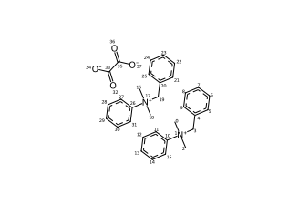 C[N+](C)(Cc1ccccc1)c1ccccc1.C[N+](C)(Cc1ccccc1)c1ccccc1.O=C([O-])C(=O)[O-]